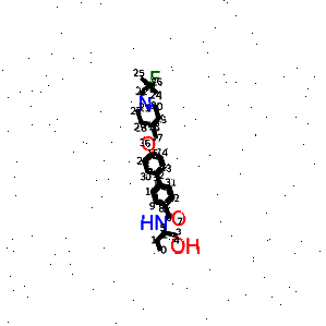 CCC(CO)NC(=O)c1ccc(-c2ccc(OCC3CCN(CC(C)(C)F)CC3)cc2)cc1